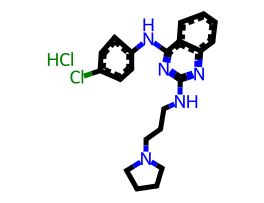 Cl.Clc1ccc(Nc2nc(NCCCN3CCCC3)nc3ccccc23)cc1